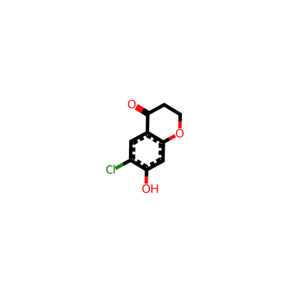 O=C1CCOc2cc(O)c(Cl)cc21